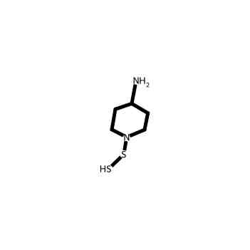 NC1CCN(SS)CC1